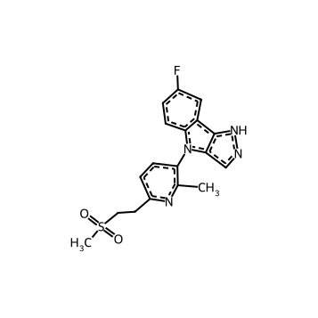 Cc1nc(CCS(C)(=O)=O)ccc1-n1c2ccc(F)cc2c2[nH]ncc21